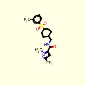 Cn1nc(C(F)(F)F)cc1C(=O)NCC1CCC(S(=O)(=O)c2cccc(C(F)(F)F)c2)CC1